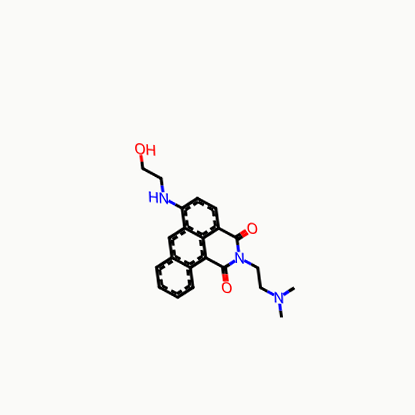 CN(C)CCN1C(=O)c2ccc(NCCO)c3cc4ccccc4c(c23)C1=O